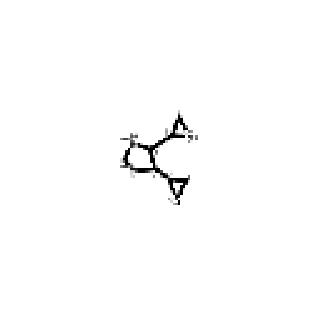 C1[Te]C(C2CS2)C(C2CS2)[Te]1